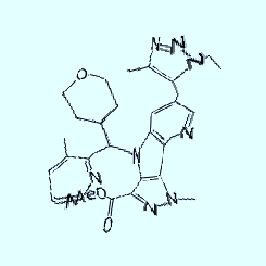 COC(=O)c1nn(C)c2c3ncc(-c4c(C)nnn4C)cc3n(C(c3ncccc3C)C3CCOCC3)c12